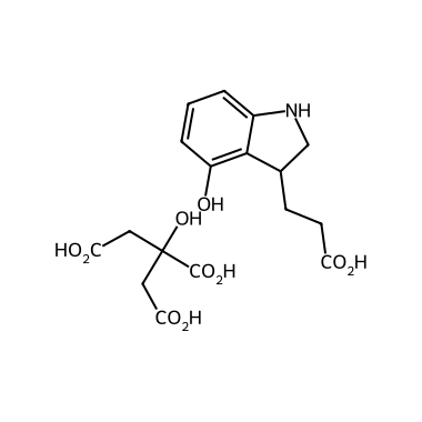 O=C(O)CC(O)(CC(=O)O)C(=O)O.O=C(O)CCC1CNc2cccc(O)c21